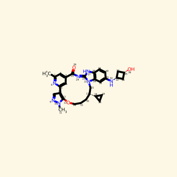 Cc1cc2cc(n1)-c1cnn(C)c1OCCC[C@@H](C1CC1)CN1/C(=N/C2=O)Nc2ccc(N[C@H]3C[C@@H](O)C3)cc21